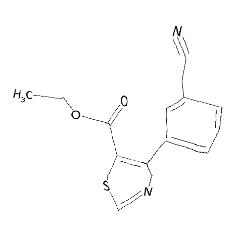 CCOC(=O)c1scnc1-c1cccc(C#N)c1